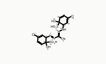 N#CC(N=NC1C=C(Cl)C=CC1(O)S(=O)(=O)O)=NNC1C=C(Cl)C=CC1(O)S(=O)(=O)O